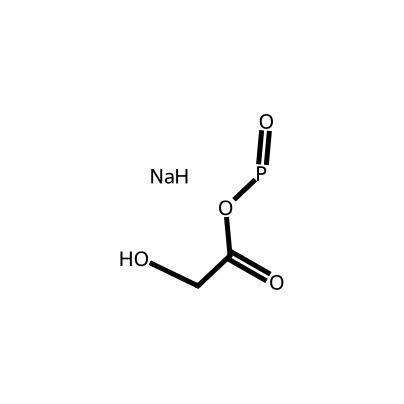 O=POC(=O)CO.[NaH]